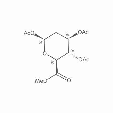 COC(=O)[C@H]1O[C@@H](OC(C)=O)C[C@@H](OC(C)=O)[C@@H]1OC(C)=O